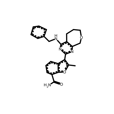 Cc1oc2c(C(N)=O)cccc2c1-c1nc2c(c(NCc3ccccc3)n1)CCCOC2